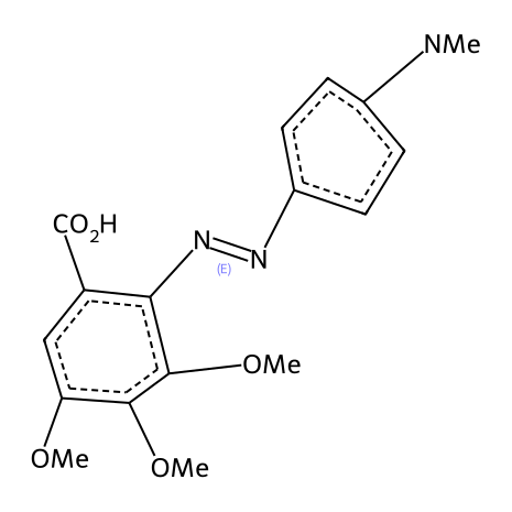 CNc1ccc(/N=N/c2c(C(=O)O)cc(OC)c(OC)c2OC)cc1